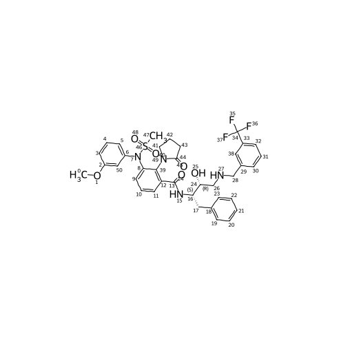 COc1cccc(N(c2cccc(C(=O)N[C@@H](Cc3ccccc3)[C@H](O)CNCc3cccc(C(F)(F)F)c3)c2N2CCCC2=O)S(C)(=O)=O)c1